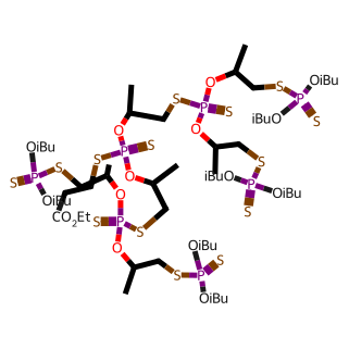 CCOC(=O)CCSP(=S)(OC(C)CSP(=S)(OC(C)CSP(=S)(OCC(C)C)OCC(C)C)OC(C)CSP(=S)(OCC(C)C)OCC(C)C)OC(C)CSP(=S)(OC(C)CSP(=S)(OCC(C)C)OCC(C)C)OC(C)CSP(=S)(OCC(C)C)OCC(C)C